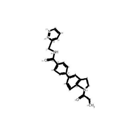 CCC(=O)N1CCc2cc(-c3ccc(C(=O)NCc4cccnn4)cc3)ccc21